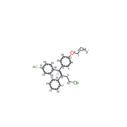 [CH2]COc1ccc(/C(=C(\CCCl)c2ccccc2)c2ccc(F)cc2)cc1